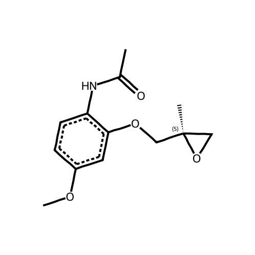 COc1ccc(NC(C)=O)c(OC[C@@]2(C)CO2)c1